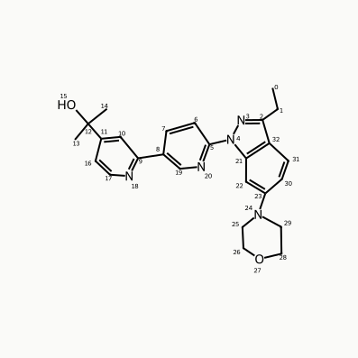 CCc1nn(-c2ccc(-c3cc(C(C)(C)O)ccn3)cn2)c2cc(N3CCOCC3)ccc12